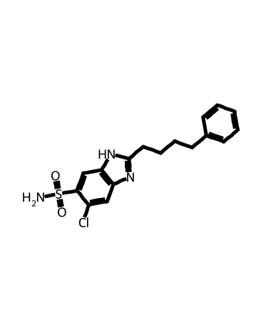 NS(=O)(=O)c1cc2[nH]c(CCCCc3ccccc3)nc2cc1Cl